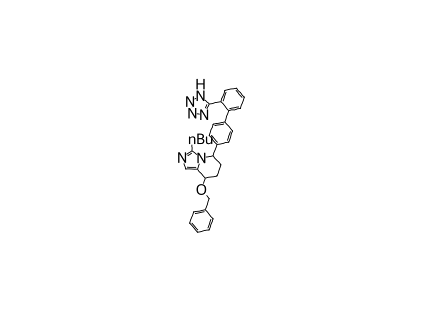 CCCCc1ncc2n1C(c1ccc(-c3ccccc3-c3nnn[nH]3)cc1)CCC2OCc1ccccc1